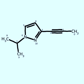 CC#Cc1ccn(C(C)C)n1